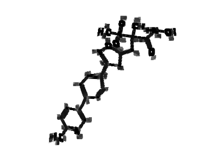 Cc1ccc(-c2ccc(C3=NOC(CC(C)(C(=O)NO)S(C)(=O)=O)C3)cc2)cn1